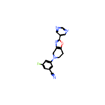 N#Cc1cc(F)cc(N2CCc3oc(-c4cncnc4)nc3C2)c1